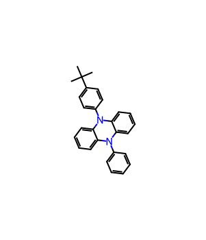 CC(C)(C)c1ccc(N2c3ccccc3N(c3ccccc3)c3ccccc32)cc1